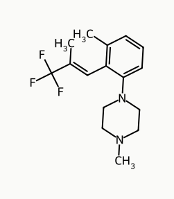 C/C(=C\c1c(C)cccc1N1CCN(C)CC1)C(F)(F)F